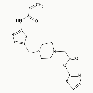 C=CC(=O)Nc1ncc(CN2CCN(CC(=O)Oc3nccs3)CC2)s1